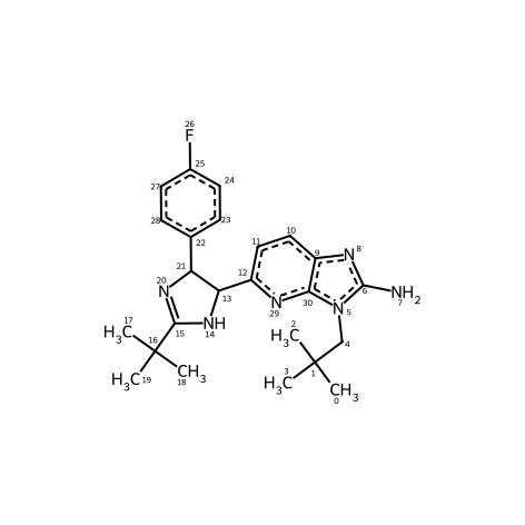 CC(C)(C)Cn1c(N)nc2ccc(C3NC(C(C)(C)C)=NC3c3ccc(F)cc3)nc21